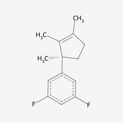 CC1=C(C)[C@](C)(c2cc(F)cc(F)c2)CC1